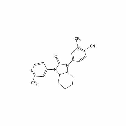 N#Cc1ccc(N2C(=O)N(c3ccnc(C(F)(F)F)c3)C3CCCCC32)cc1C(F)(F)F